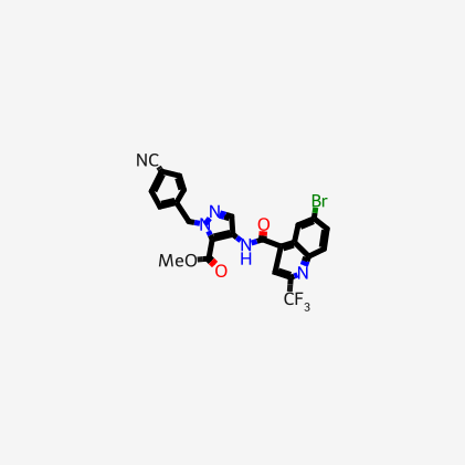 COC(=O)c1c(NC(=O)c2cc(C(F)(F)F)nc3ccc(Br)cc23)cnn1Cc1ccc(C#N)cc1